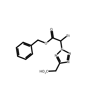 CCC(C(=O)OCc1ccccc1)n1nnc(CC(=O)O)n1